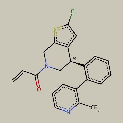 C=CC(=O)N1Cc2sc(Cl)cc2[C@@H](c2ccccc2-c2cccnc2C(F)(F)F)C1